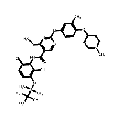 COc1nc(Nc2ccc(OC3CCN(C)CC3)c(C)c2)ncc1C(=O)Nc1c(Cl)ccc(O[Si](C)(C)C(C)(C)C)c1C